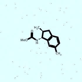 COC(=O)N[C@H]1c2cc(C)ccc2C[C@@H]1C